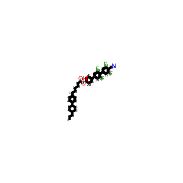 CCCC1CCC(c2ccc(CCCCCC(O)Oc3ccc(-c4cc(F)c(-c5cc(F)c(C#N)c(F)c5)c(F)c4)cc3)cc2)CC1